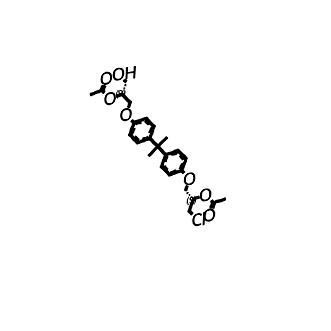 CC(=O)O[C@H](CO)COc1ccc(C(C)(C)c2ccc(OC[C@@H](CCl)OC(C)=O)cc2)cc1